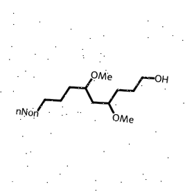 CCCCCCCCCCCCC(CC(CCCO)OC)OC